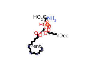 CCCCC/C=C\C/C=C\C/C=C\C/C=C\CCCCCC(=O)OC[C@H](COP(=O)(O)OC[C@H](N)C(=O)O)OC(=O)CCCCCCCCCCCCCC